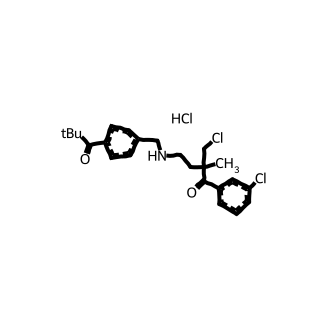 CC(C)(C)C(=O)c1ccc(CNCCC(C)(CCl)C(=O)c2cccc(Cl)c2)cc1.Cl